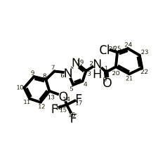 O=C(Nc1ccn(Cc2ccccc2OC(F)(F)F)n1)c1ccccc1Cl